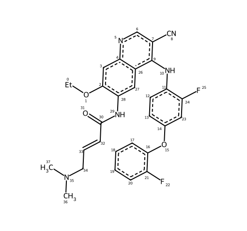 CCOc1cc2ncc(C#N)c(Nc3ccc(Oc4ccccc4F)cc3F)c2cc1NC(=O)/C=C/CN(C)C